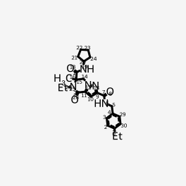 CCc1ccc(CNC(=O)c2cc3n(n2)CC(C)(C(=O)NC2CCCC2)N(CC)C3=O)cc1